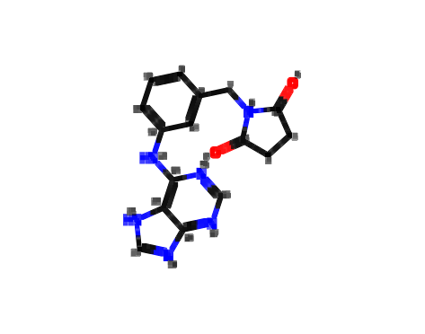 O=C1CCC(=O)N1Cc1cccc(Nc2ncnc3nc[nH]c23)c1